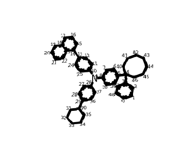 c1ccc(C2(c3ccc(N(c4ccc(-c5cccc6ccccc56)cc4)c4ccc(C5CCCCC5)cc4)cc3)CCCCCCC2)cc1